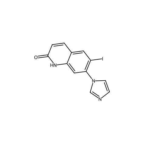 O=c1ccc2cc(I)c(-n3ccnc3)cc2[nH]1